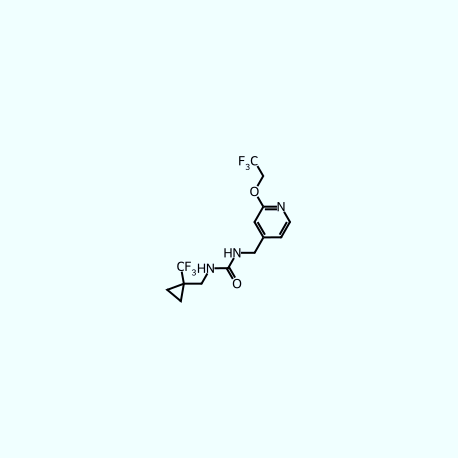 O=C(NCc1ccnc(OCC(F)(F)F)c1)NCC1(C(F)(F)F)CC1